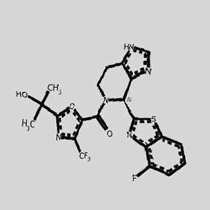 CC(C)(O)c1nc(C(F)(F)F)c(C(=O)N2CCc3[nH]cnc3[C@H]2c2nc3c(F)cccc3s2)o1